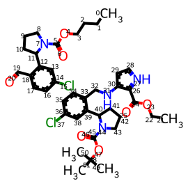 CCCCOC(=O)N1CCCC1c1cc(Cl)ccc1C=O.CCOC(=O)c1[nH]ccc1NCc1ccc(Cl)cc1C1CCCN1C(=O)OC(C)(C)C